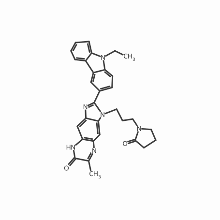 CCn1c2ccccc2c2cc(-c3nc4cc5[nH]c(=O)c(C)nc5cc4n3CCCN3CCCC3=O)ccc21